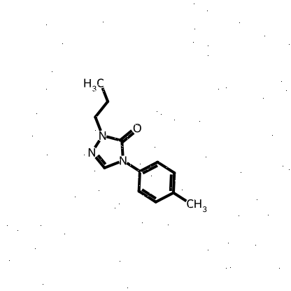 CCCn1ncn(-c2ccc(C)cc2)c1=O